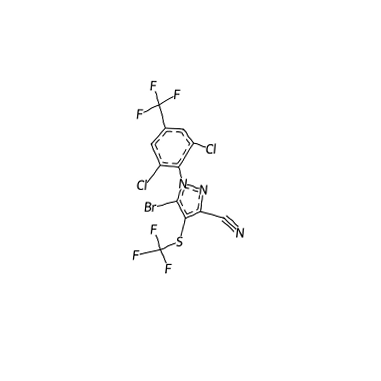 N#Cc1nn(-c2c(Cl)cc(C(F)(F)F)cc2Cl)c(Br)c1SC(F)(F)F